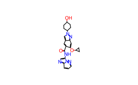 O=C(Nc1cnc2cccnn12)c1cc2cn(C3CCC(O)CC3)nc2cc1OC1CC1